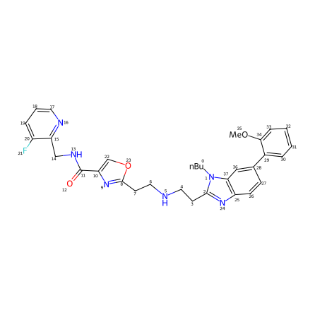 CCCCn1c(CCNCCc2nc(C(=O)NCc3ncccc3F)co2)nc2ccc(-c3ccccc3OC)cc21